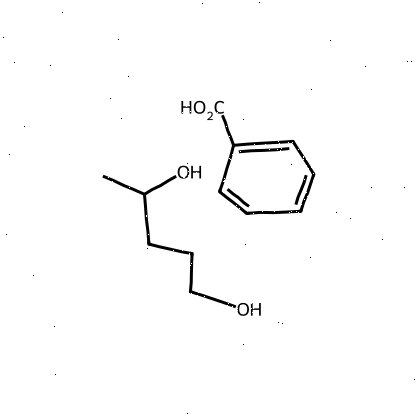 CC(O)CCCO.O=C(O)c1ccccc1